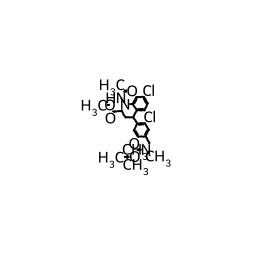 COC(=O)C1CC(c2ccc(CN(C)C(=O)OC(C)(C)C)cc2)c2c(Cl)cc(Cl)cc2N1NC(C)=O